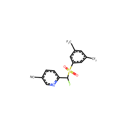 N#Cc1ccc(C(F)S(=O)(=O)c2cc(C(F)(F)F)cc(C(F)(F)F)c2)nc1